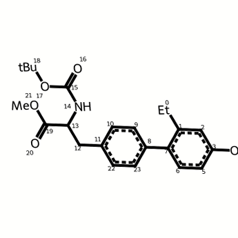 CCc1cc(O)ccc1-c1ccc(CC(NC(=O)OC(C)(C)C)C(=O)OC)cc1